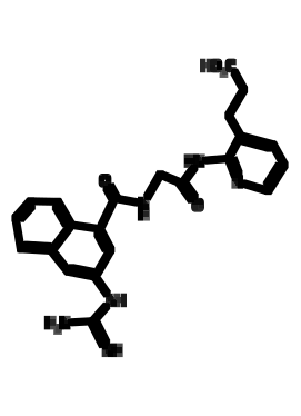 N=C(N)Nc1cc(C(=O)NCC(=O)Nc2ncccc2CCC(=O)O)c2ccccc2c1